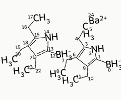 [BH3-]c1[nH]c(CC)c(CC)c1CC.[BH3-]c1[nH]c(CC)c(CC)c1CC.[Ba+2]